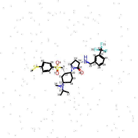 CSc1ccc(S(=O)(=O)C[C@H]2C[C@H](N(C)C(C)C)CC[C@@H]2N2CC[C@H](NCc3cccc(C(F)(F)F)c3)C2=O)cc1